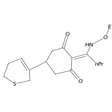 CCCC(NOCC)=C1C(=O)CC(C2=CCCSC2)CC1=O